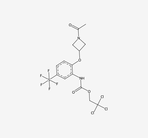 CC(=O)N1CC(Oc2ccc(S(F)(F)(F)(F)F)cc2NC(=O)OCC(Cl)(Cl)Cl)C1